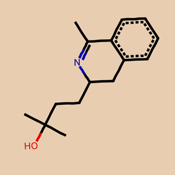 CC1=NC(CCC(C)(C)O)Cc2ccccc21